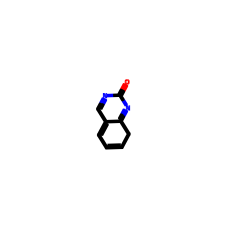 O=C1N=CC2=CC=CCC2=N1